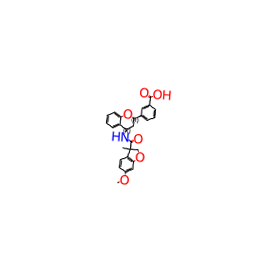 COc1ccc2c(c1)OCC2(C)C(=O)N[C@@H]1C[C@H](c2cccc(C(=O)O)c2)Oc2ccccc21